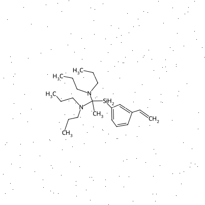 C=Cc1cccc([SiH2]C(C)(N(CCC)CCC)N(CCC)CCC)c1